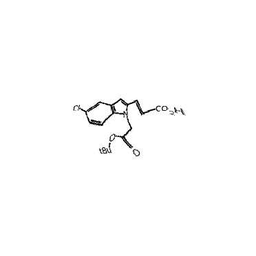 CC(C)(C)OC(=O)Cn1c(C=CC(=O)O)cc2cc(Cl)ccc21